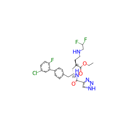 CCOC(=O)[C@H](CCNCC(F)F)C[C@@H](Cc1ccc(-c2cc(Cl)ccc2F)cc1)NC(=O)c1c[nH]nn1